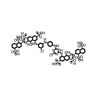 O=S(=O)(O)c1cc(Nc2cc(Cl)cc(Nc3ccc(Nc4nc(Cl)nc(Nc5cc(S(=O)(=O)O)cc6cc(S(=O)(=O)O)c(/N=N/c7ccc8c(S(=O)(=O)O)cccc8c7S(=O)(=O)O)c(O)c56)n4)cc3)c2)c2c(O)c(N=Nc3ccc4c(S(=O)(=O)O)cccc4c3S(=O)(=O)O)c(S(=O)(=O)O)cc2c1